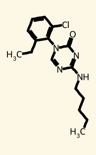 CCCCCNc1ncn(-c2c(Cl)cccc2CC)c(=O)n1